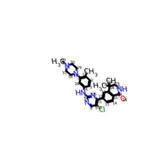 Cc1ccc(Nc2ncc(Cl)c(-c3ccc4c(c3)C(C)(C)CNC4=O)n2)cc1N1CCN(C)CC1